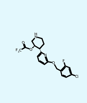 O=C(O[C@H]1CNCC[C@@H]1c1cccc(OCc2ccc(Cl)cc2F)n1)C(F)(F)F